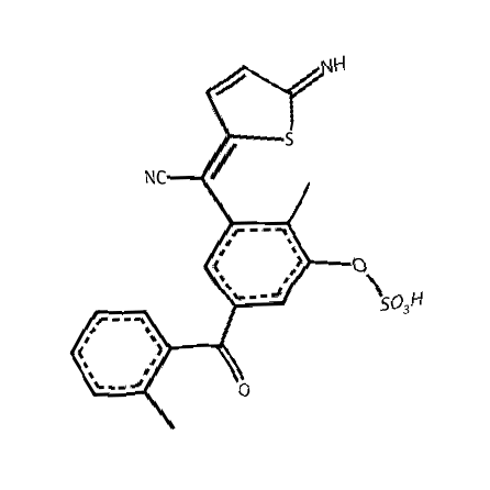 Cc1ccccc1C(=O)c1cc(OS(=O)(=O)O)c(C)c(C(C#N)=C2C=CC(=N)S2)c1